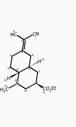 CCOC(=O)[C@@H]1C[C@@H]2CC(=C(C#N)C#N)CC[C@H]2N(C)C1